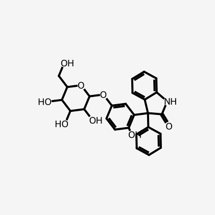 O=C1Nc2ccccc2C1(c1ccccc1)c1cc(OC2OC(CO)C(O)C(O)C2O)ccc1O